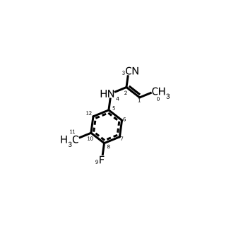 CC=C(C#N)Nc1ccc(F)c(C)c1